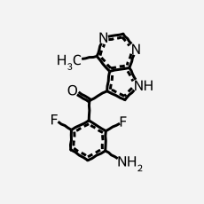 Cc1ncnc2[nH]cc(C(=O)c3c(F)ccc(N)c3F)c12